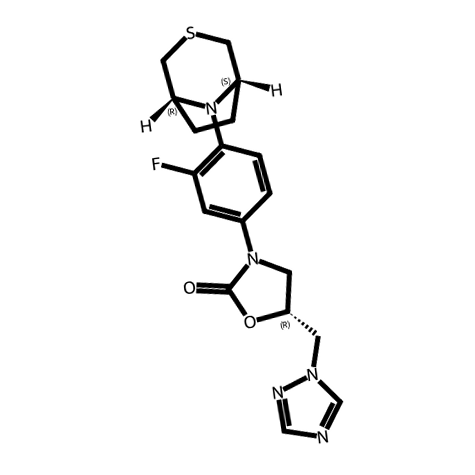 O=C1O[C@@H](Cn2cncn2)CN1c1ccc(N2[C@@H]3CC[C@H]2CSC3)c(F)c1